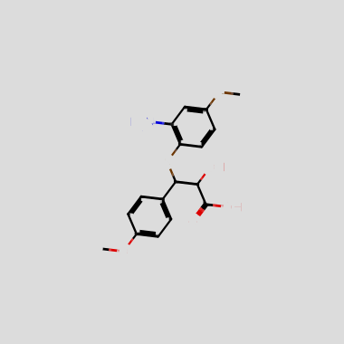 COc1ccc(C(Sc2ccc(SC)cc2N)C(O)C(=O)O)cc1